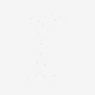 C[Si](C)(C)c1ccc(N(c2ccccc2)c2ccc(-c3ccc(-c4ccc(N(c5ccccc5)c5ccccc5)cc4)cc3)cc2)cc1